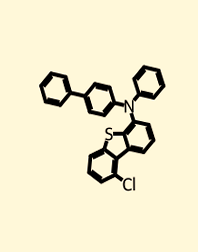 Clc1cccc2sc3c(N(c4ccccc4)c4ccc(-c5ccccc5)cc4)cccc3c12